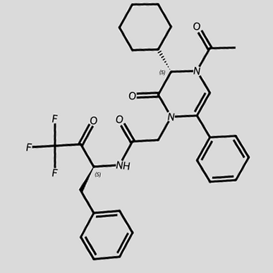 CC(=O)N1C=C(c2ccccc2)N(CC(=O)N[C@@H](Cc2ccccc2)C(=O)C(F)(F)F)C(=O)[C@@H]1C1CCCCC1